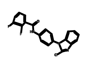 O=C(Nc1ccc(-n2c(Cl)nc3ccccc32)cc1)c1cccc(F)c1F